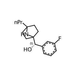 CCCC12CCC([C@@H](O)c3cccc(F)c3)(CC1)N2